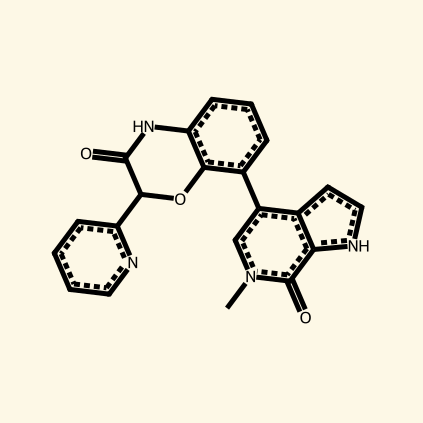 Cn1cc(-c2cccc3c2OC(c2ccccn2)C(=O)N3)c2cc[nH]c2c1=O